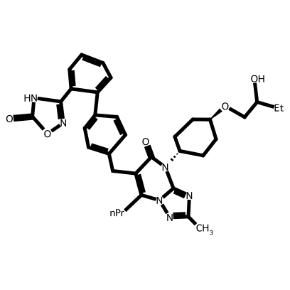 CCCc1c(Cc2ccc(-c3ccccc3-c3noc(=O)[nH]3)cc2)c(=O)n([C@H]2CC[C@H](OCC(O)CC)CC2)c2nc(C)nn12